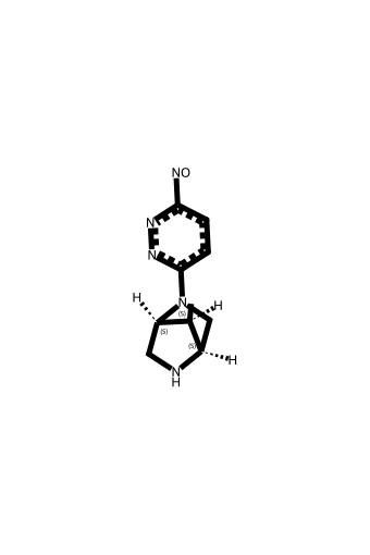 C[C@@H]1[C@H]2CN[C@@H]1CN2c1ccc(N=O)nn1